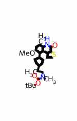 COc1cc(C)c2[nH]c(=O)c3sccc3c2c1-c1ccc([C@H](C)CN(C)C(=O)OC(C)(C)C)cc1